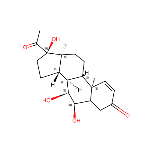 CC(=O)[C@@]1(O)CC[C@H]2[C@@H]3[C@H](O)[C@H](O)C4CC(=O)C=C[C@]4(C)[C@H]3CC[C@@]21C